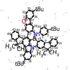 CC(C)(C)c1ccc(N2B3c4cc5c(cc4-n4c6ccc(C(C)(C)C)cc6c6c7c(c(c3c64)-c3cc4oc6ccc(C(C)(C)C)cc6c4cc32)-c2ccccc2C7(C)C)C(C)(C)c2ccccc2-5)cc1